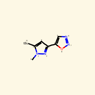 Cn1nc(-c2cnno2)cc1C(C)(C)C